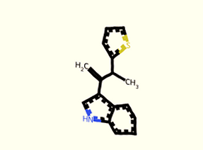 C=C(c1c[nH]c2ccccc12)C(C)c1cccs1